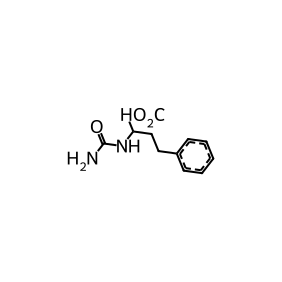 NC(=O)NC(CCc1ccccc1)C(=O)O